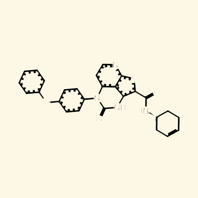 O=C(N[C@@H]1CC=CCC1)c1sc2nccc3c2c1NC(=O)N3c1ccc(Oc2ccccc2)cc1